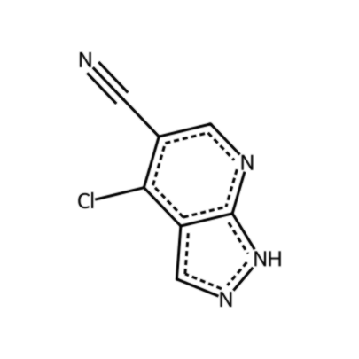 N#Cc1cnc2[nH]ncc2c1Cl